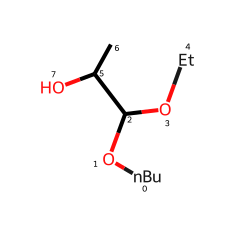 CCCCOC(OCC)C(C)O